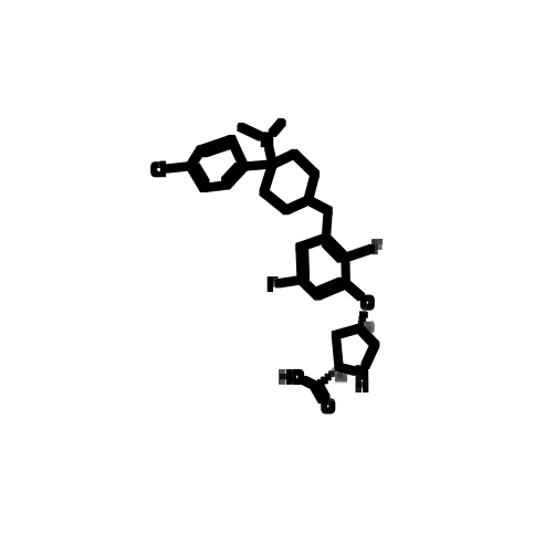 CN(C)C1(c2ccc(Cl)cc2)CCC(Cc2cc(F)cc(O[C@@H]3CN[C@H](C(=O)O)C3)c2F)CC1